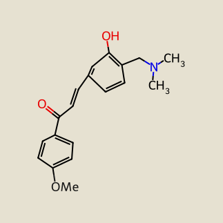 COc1ccc(C(=O)C=Cc2ccc(CN(C)C)c(O)c2)cc1